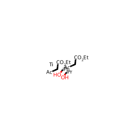 CC(C)O.CC(C)O.CCOC(=O)CC(C)=O.CCOC(=O)CC(C)=O.[Ti]